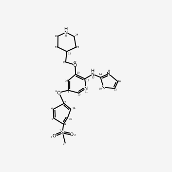 CS(=O)(=O)c1ccc(Oc2cnc(Nc3nccs3)c(OCC3CCNCC3)c2)cc1